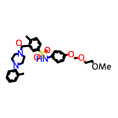 COCCOCOc1ccc(NS(=O)(=O)c2ccc(C)c(C(=O)N3CCN(c4ccccc4C)CC3)c2)cc1